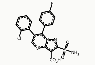 NS(=O)(=O)c1nn2c(-c3ccc(F)cc3)c(-c3ccccc3Cl)cnc2c1C(=O)O